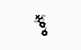 CC(C)(C)C(C(=O)O)C(S)c1ccc(Oc2ccccc2)cc1